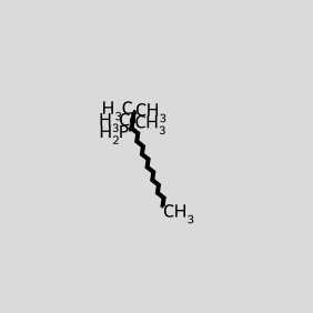 CCCCCCCCCCCCCC(P)C(C)(C)C(C)C